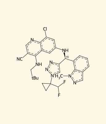 Cn1ncc2cccc([C@H](Nc3cc(Cl)c4ncc(C#N)c(NCC(C)(C)C)c4c3)c3cn(C4(C(F)F)CC4)nn3)c21